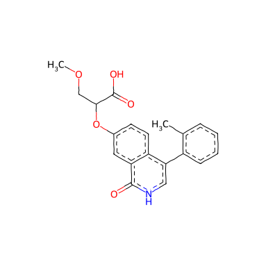 COCC(Oc1ccc2c(-c3ccccc3C)c[nH]c(=O)c2c1)C(=O)O